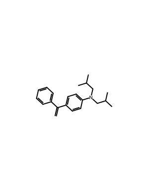 C=C(c1ccccc1)c1ccc(N(CC(C)C)CC(C)C)cc1